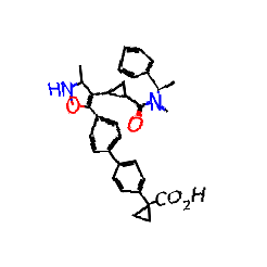 CC1NOC(c2ccc(-c3ccc(C4(C(=O)O)CC4)cc3)cc2)=C1C1CC1C(=O)N(C)[C@H](C)c1ccccc1